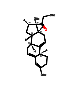 CC(=O)OCC(=O)[C@]1(OC(C)=O)[C@@H](C)C[C@H]2[C@@H]3CC=C4C=C(OC(C)=O)CC[C@]4(C)C3=CC[C@@]21C